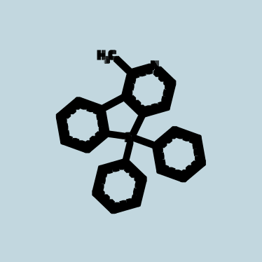 Cc1nccc2c1-c1ccccc1[Si]2(c1ccccc1)c1ccccc1